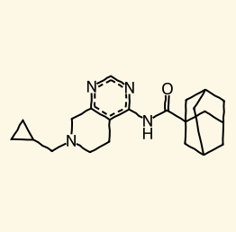 O=C(Nc1ncnc2c1CCN(CC1CC1)C2)C12CC3CC(CC(C3)C1)C2